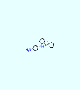 C[C@]1(Oc2ccccc2Nc2ccc(N)cc2)C=CC=CC1